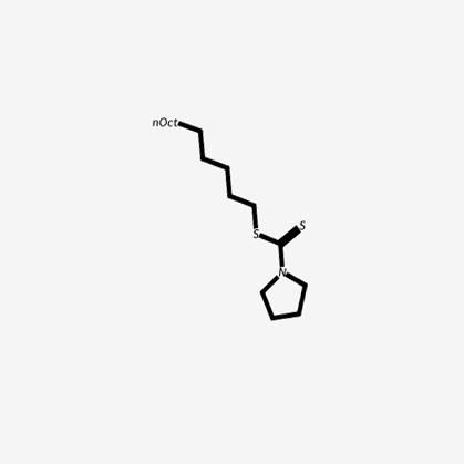 CCCCCCCCCCCCCSC(=S)N1CCCC1